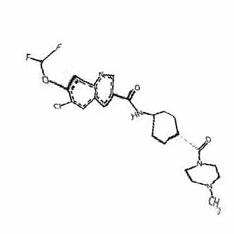 CN1CCN(C(=O)[C@H]2CC[C@H](NC(=O)c3cnc4cc(OC(F)F)c(Cl)cc4c3)CC2)CC1